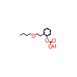 CCCCOCCc1ccccc1OC(=O)O